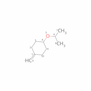 [CH]=C1CCC(OC(C)C)CC1